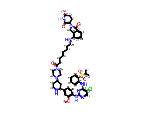 COc1cc(C2CC(N3CCN(C(=O)CCCCCCCNc4cccc5c4CN(C4CCC(=O)NC4=O)C5=O)CC3)CCN2)ccc1Nc1ncc(Cl)c(Nc2ccccc2S(=O)(=O)C(C)C)n1